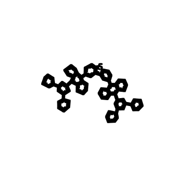 c1ccc(-c2cc(-c3ccccc3)cc(-c3c4ccccc4c(-c4ccc5sc6ccc(-c7c8ccccc8c(-c8cc(-c9ccccc9)cc(-c9ccccc9)c8)c8ccccc78)cc6c5c4)c4ccccc34)c2)cc1